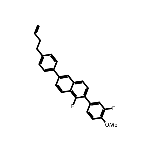 C=CCCc1ccc(-c2ccc3c(F)c(-c4ccc(OC)c(F)c4)ccc3c2)cc1